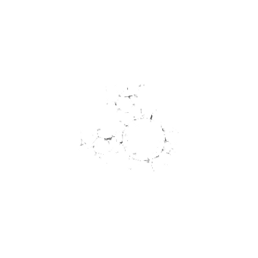 CC[C@H]1OC(=O)[C@H](C)[C@@H](C2C[C@@](C)(OC)[C@@H](O)[C@H](C)O2)[C@H](C)[C@@H](O[C@@H]2O[C@H](C)C[C@H](NC)C2O)[C@](C)(O)C[C@@H](C)CN(C)[C@H](C)[C@@H](O)[C@]1(C)O